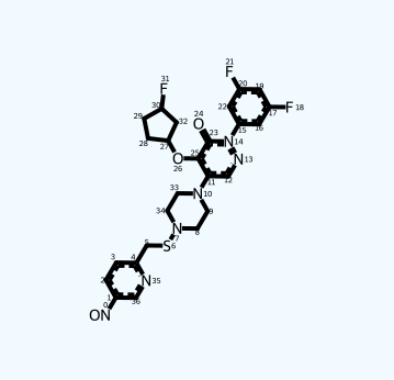 O=Nc1ccc(CSN2CCN(c3cnn(-c4cc(F)cc(F)c4)c(=O)c3OC3CCC(F)C3)CC2)nc1